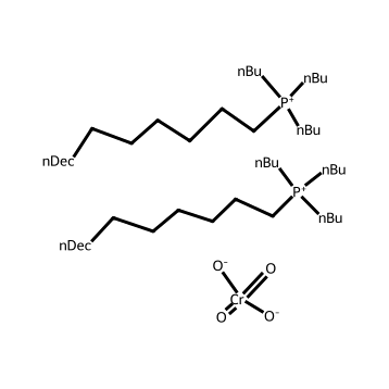 CCCCCCCCCCCCCCCC[P+](CCCC)(CCCC)CCCC.CCCCCCCCCCCCCCCC[P+](CCCC)(CCCC)CCCC.[O]=[Cr](=[O])([O-])[O-]